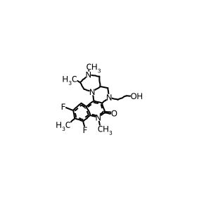 Cc1c(F)cc2c3c(c(=O)n(C)c2c1F)N(CCO)CC1CN(C)C(C)CN31